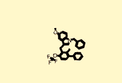 COc1ccc2c(c1)c(Cc1c(OC(F)(F)F)ccc(-c3ccccc3)c1C)cn2Cc1ccccc1